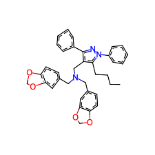 CCCCc1c(CN(Cc2ccc3c(c2)OCO3)Cc2ccc3c(c2)OCO3)c(-c2ccccc2)nn1-c1ccccc1